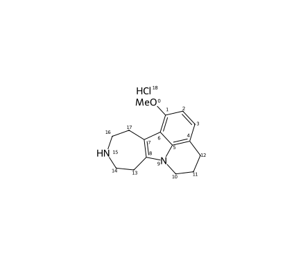 COc1ccc2c3c1c1c(n3CCC2)CCNCC1.Cl